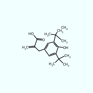 C.C=C(Cc1cc(C(C)(C)C)c(O)c(C(C)(C)C)c1)C(=O)O